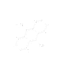 Nc1c2nccnc2c(N)c2nccnc12